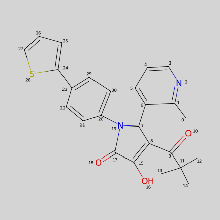 Cc1ncccc1C1C(C(=O)C(C)(C)C)=C(O)C(=O)N1c1ccc(-c2cccs2)cc1